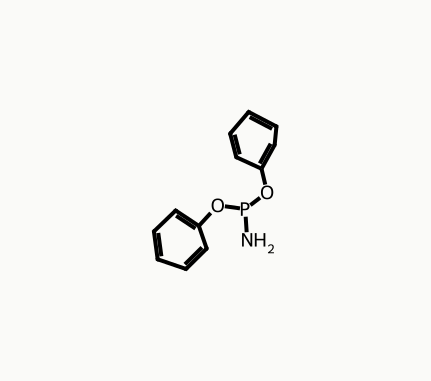 NP(Oc1ccccc1)Oc1ccccc1